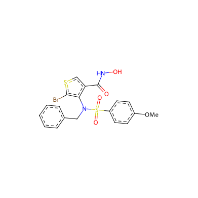 COc1ccc(S(=O)(=O)N(Cc2ccccc2)c2c(C(=O)NO)csc2Br)cc1